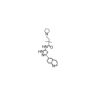 CC(C)(CCN1CCCC1)C(=O)Nc1cc(-c2ccc3ncccc3c2)n[nH]1